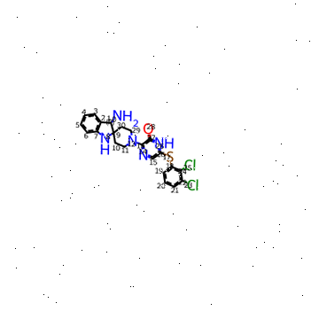 N[C@@H]1c2ccccc2NC12CCN(c1ncc(Sc3cccc(Cl)c3Cl)[nH]c1=O)CC2